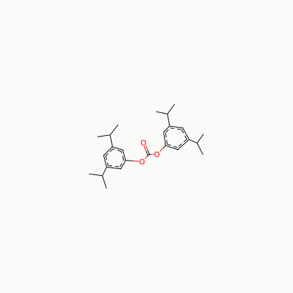 CC(C)c1cc(OC(=O)Oc2cc(C(C)C)cc(C(C)C)c2)cc(C(C)C)c1